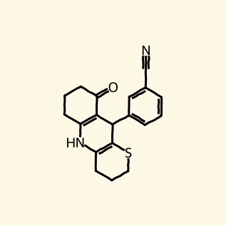 N#Cc1cccc(C2C3=C(CCCS3)NC3=C2C(=O)CCC3)c1